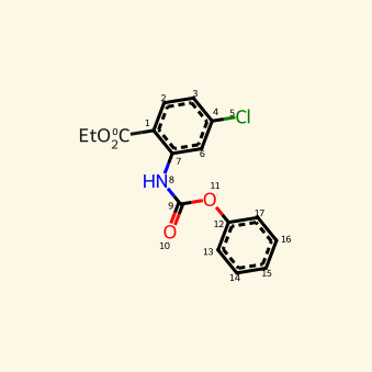 CCOC(=O)c1ccc(Cl)cc1NC(=O)Oc1ccccc1